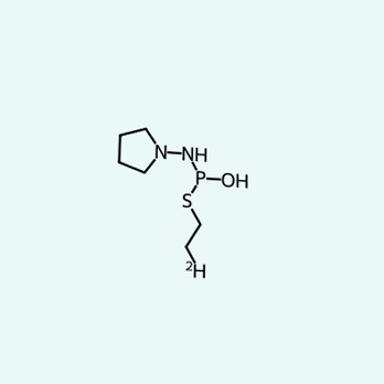 [2H]CCSP(O)NN1CCCC1